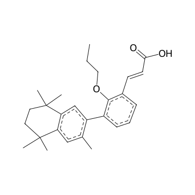 CCCOc1c(C=CC(=O)O)cccc1-c1cc2c(cc1C)C(C)(C)CCC2(C)C